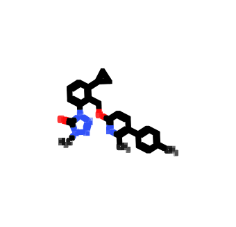 Cc1ccc(-c2ccc(OCc3c(C4CC4)cccc3-n3nnn(C)c3=O)nc2C)cc1